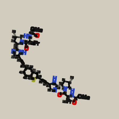 COC(=O)N[C@H](C(=O)N1C[C@@H](C)C[C@H]1C1=NCC(C#Cc2cc3cc(C#Cc4cnc([C@@H]5C[C@H](C)CN5C(=O)[C@@H](NC(=O)OC)C(C)C)[nH]4)ccc3s2)N1)C(C)C